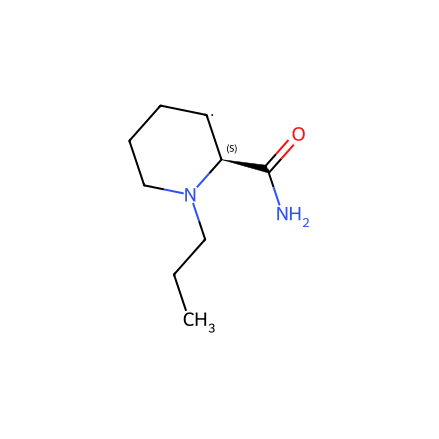 CCCN1CCC[CH][C@H]1C(N)=O